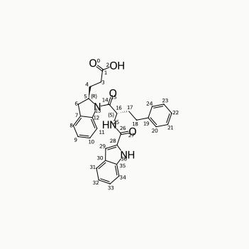 O=C(O)CC[C@@H]1Cc2ccccc2N1C(=O)[C@H](CCc1ccccc1)NC(=O)c1cc2ccccc2[nH]1